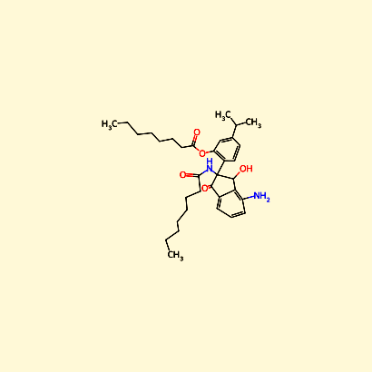 CCCCCCCC(=O)NC1(c2ccc(C(C)C)cc2OC(=O)CCCCCCC)C(=O)c2cccc(N)c2C1O